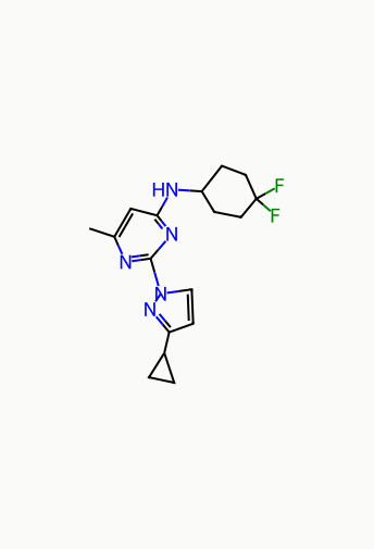 Cc1cc(NC2CCC(F)(F)CC2)nc(-n2ccc(C3CC3)n2)n1